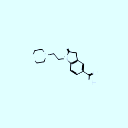 O=C(O)c1ccc2c(c1)CC(=O)N2CCN1CCOCC1